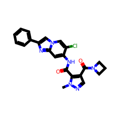 Cn1ncc(C(=O)N2CCC2)c1C(=O)Nc1cc2nc(-c3ccccc3)cn2cc1Cl